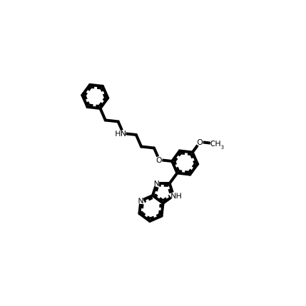 COc1ccc(-c2nc3ncccc3[nH]2)c(OCCCNCCc2ccccc2)c1